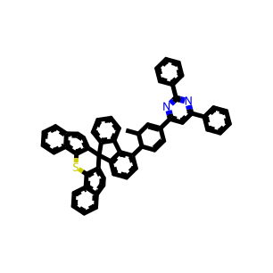 CC1C=C(c2cc(-c3ccccc3)nc(-c3ccccc3)n2)C=CC1c1cccc2c1-c1ccccc1C21c2ccc3ccccc3c2Sc2c1ccc1ccccc21